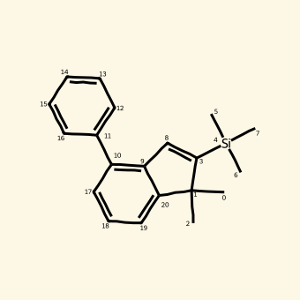 CC1(C)C([Si](C)(C)C)=Cc2c(-c3ccccc3)cccc21